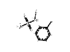 Cc1ccccc1.NS(=O)(=O)NBr